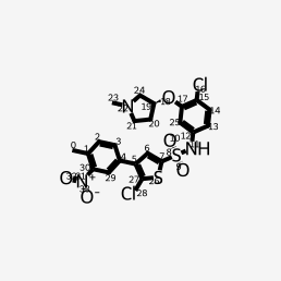 Cc1ccc(-c2cc(S(=O)(=O)Nc3ccc(Cl)c(O[C@@H]4CCN(C)C4)c3)sc2Cl)cc1[N+](=O)[O-]